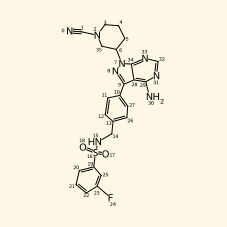 N#CN1CCCC(n2nc(-c3ccc(CNS(=O)(=O)c4cccc(F)c4)cc3)c3c(N)ncnc32)C1